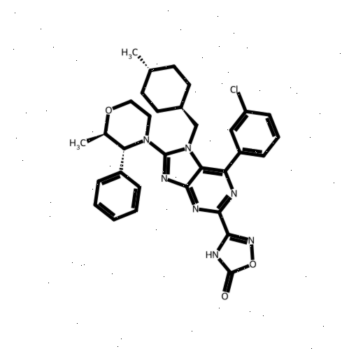 C[C@H]1OCCN(c2nc3nc(-c4noc(=O)[nH]4)nc(-c4cccc(Cl)c4)c3n2C[C@H]2CC[C@H](C)CC2)[C@@H]1c1ccccc1